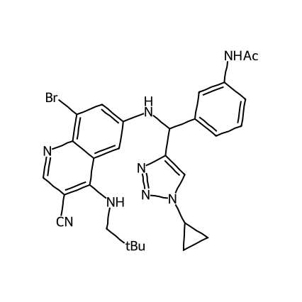 CC(=O)Nc1cccc(C(Nc2cc(Br)c3ncc(C#N)c(NCC(C)(C)C)c3c2)c2cn(C3CC3)nn2)c1